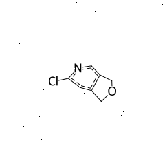 Clc1cc2c(cn1)COC2